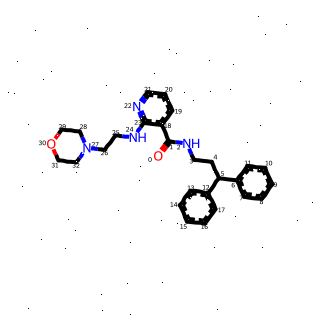 O=C(NCCC(c1ccccc1)c1ccccc1)c1cccnc1NCCN1CCOCC1